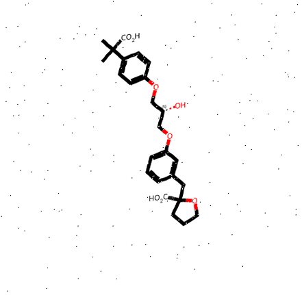 CC(C)(C(=O)O)c1ccc(OC[C@H](O)COc2cccc(CC3(C(=O)O)CCCO3)c2)cc1